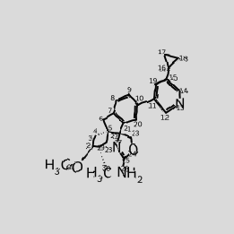 CO[C@H]1CC[C@@]2(Cc3ccc(-c4cncc(C5CC5)c4)cc3[C@@]23COC(N)=N3)C[C@@H]1C